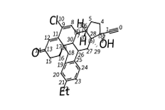 C#C[C@]1(O)CC[C@H]2[C@@H]3C=C(Cl)C4=CC(=O)CC[C@@]45Cc4cc(CC)ccc4C(C[C@@]21C)C35